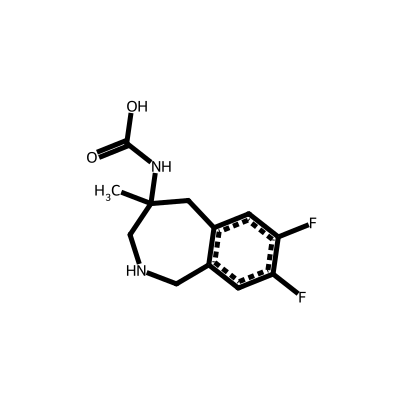 CC1(NC(=O)O)CNCc2cc(F)c(F)cc2C1